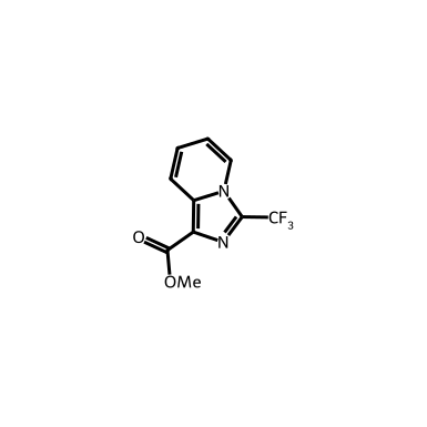 COC(=O)c1nc(C(F)(F)F)n2ccccc12